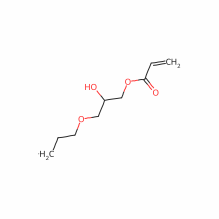 [CH2]CCOCC(O)COC(=O)C=C